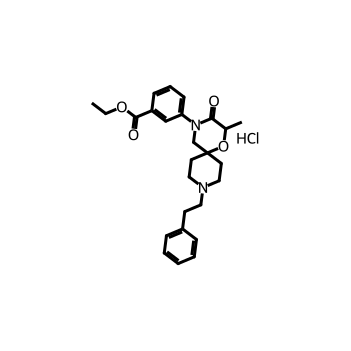 CCOC(=O)c1cccc(N2CC3(CCN(CCc4ccccc4)CC3)OC(C)C2=O)c1.Cl